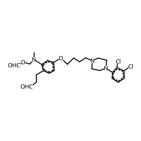 CN(COC=O)c1cc(OCCCCN2CCN(c3cccc(Cl)c3Cl)CC2)ccc1CCC=O